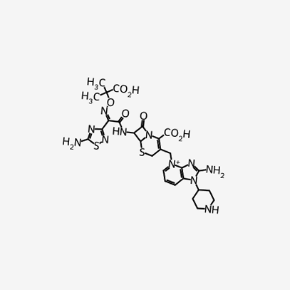 CC(C)(O/N=C(\C(=O)NC1C(=O)N2C(C(=O)O)=C(C[n+]3cccc4c3nc(N)n4C3CCNCC3)CSC12)c1nsc(N)n1)C(=O)O